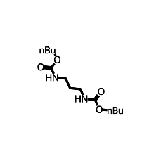 CCCCOC(=O)NCCCNC(=O)OCCCC